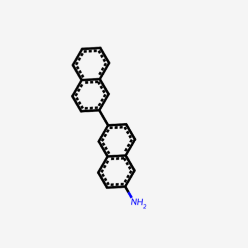 Nc1ccc2cc(-c3ccc4ccccc4c3)ccc2c1